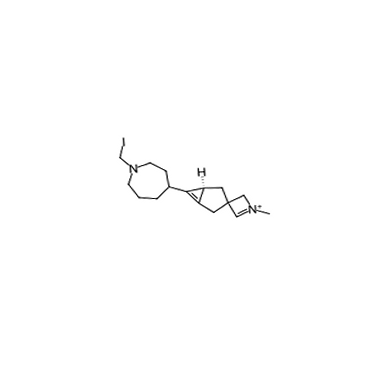 C[N+]1=CC2(CC3=C(C4CCCN(CI)CC4)[C@H]3C2)C1